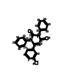 O=c1nc(-c2cccc(Cl)c2)n(-c2ccccc2)c(=O)n1-c1ccccc1